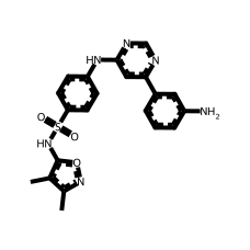 Cc1noc(NS(=O)(=O)c2ccc(Nc3cc(-c4cccc(N)c4)ncn3)cc2)c1C